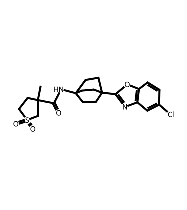 CC1(C(=O)NC23CCC(c4nc5cc(Cl)ccc5o4)(CC2)CC3)CCS(=O)(=O)C1